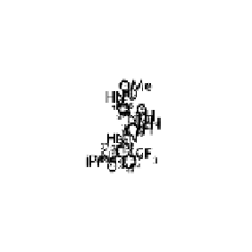 [2H]C([2H])([2H])n1c(=O)n([C@@H]2CC[C@@H](NC(=O)OC)C2)c2cc(Nc3cc(C(=O)N(C)C(C)C)c4cccc(C(F)(F)F)c4n3)ncc21